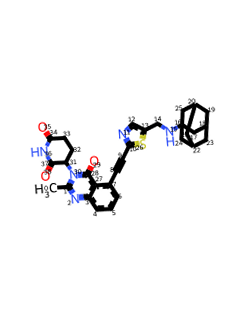 Cc1nc2cccc(C#Cc3ncc(CNC45CC6CC(CC(C6)C4)C5)s3)c2c(=O)n1C1CCC(=O)NC1=O